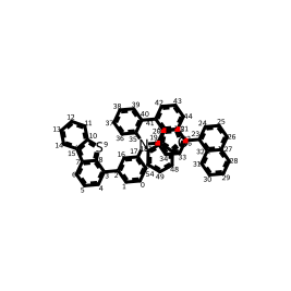 c1cc(-c2cccc3c2sc2ccccc23)cc(N(c2ccc(-c3cccc4ccccc34)cc2)c2ccccc2-c2cccc3oc4ccccc4c23)c1